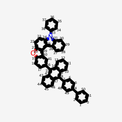 c1ccc(-c2ccc(-c3c4ccccc4c(-c4ccc5oc6ccc7c(c8ccccc8n7-c7ccccc7)c6c5c4)c4ccccc34)cc2)cc1